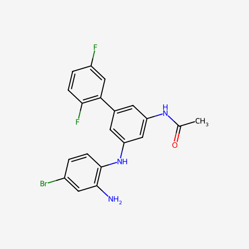 CC(=O)Nc1cc(Nc2ccc(Br)cc2N)cc(-c2cc(F)ccc2F)c1